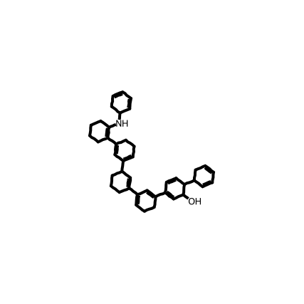 OC1C=C(C2=CC(C3=CC(C4=CCCC(C5=C(NC6C=CC=CC6)CCCC5)=C4)CCC3)=CCC2)C=CC1C1C=CC=CC1